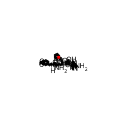 Nc1ncnc2c1ncn2[C@@H]1O[C@H](C[C@H](CC[C@H](N)C(=O)NCCc2ccc3c(c2)OCO3)CNCc2ccccc2)[C@H](O)C1O